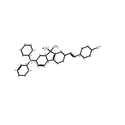 CC1(C)C2=C(CCC(/C=C/C3CCC(Cl)CC3)C2)C2C=CC(N(C3C=CCCC3)C3CCCCC3)CC21